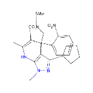 CSCCC1(c2ccccc2[N+](=O)[O-])C(C(=O)O)=C(C)Nc2c1c(C1CCCC1)nn2C